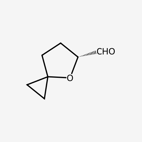 O=C[C@H]1CCC2(CC2)O1